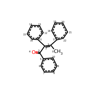 CC(=C(C(=O)c1ccccc1)c1ccccc1)c1ccccc1